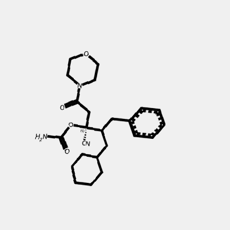 N#C[C@@](CC(=O)N1CCOCC1)(OC(N)=O)C(Cc1ccccc1)CC1CCCCC1